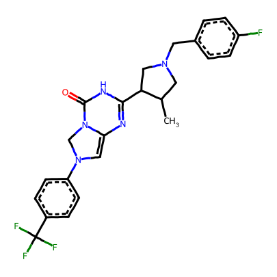 CC1CN(Cc2ccc(F)cc2)CC1C1=NC2=CN(c3ccc(C(F)(F)F)cc3)CN2C(=O)N1